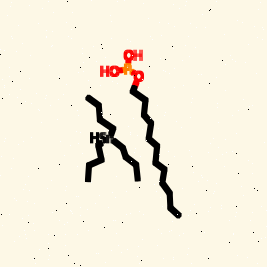 CCCCCCCCCCCCOP(O)O.CCC[CH2][SnH]([CH2]CCC)[CH2]CCC